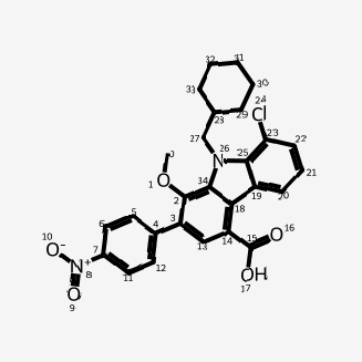 COc1c(-c2ccc([N+](=O)[O-])cc2)cc(C(=O)O)c2c3cccc(Cl)c3n(CC3CCCCC3)c12